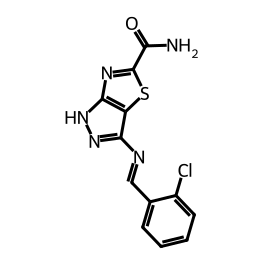 NC(=O)c1nc2[nH]nc(N=Cc3ccccc3Cl)c2s1